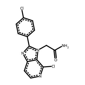 NC(=O)Cn1c(-c2ccc(Cl)cc2)nc2ccnc(Cl)c21